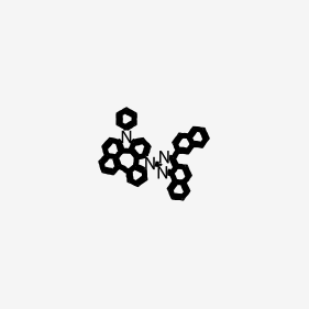 c1ccc(-n2c3ccc4cccc5c4c3c3c4c6c-5cccc6n(-c5nc(-c6ccc7ccccc7c6)c6ccc7ccccc7c6n5)c4ccc32)cc1